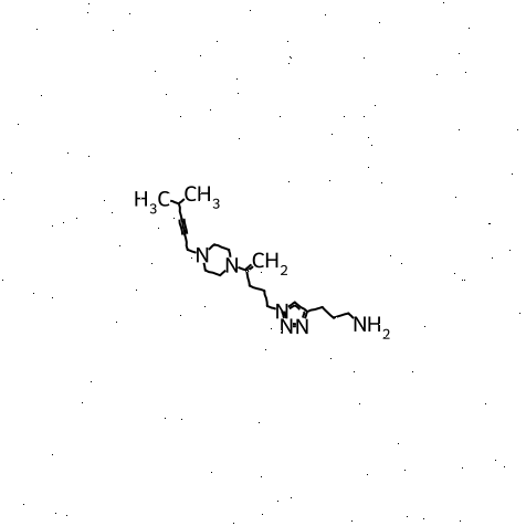 C=C(CCCn1cc(CCCN)nn1)N1CCN(CC#CC(C)C)CC1